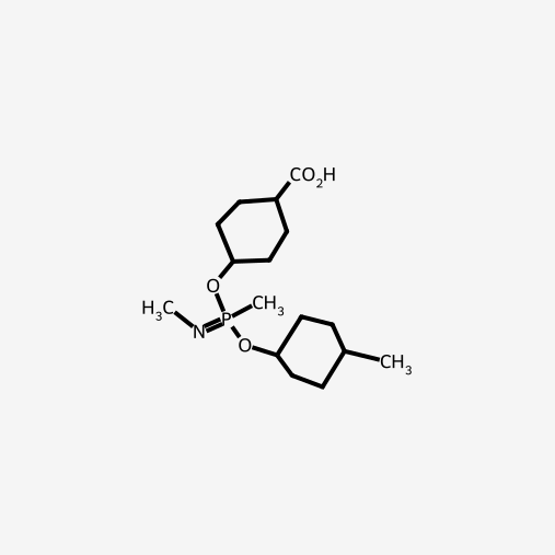 CN=P(C)(OC1CCC(C)CC1)OC1CCC(C(=O)O)CC1